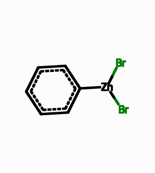 [Br][Zn]([Br])[c]1ccccc1